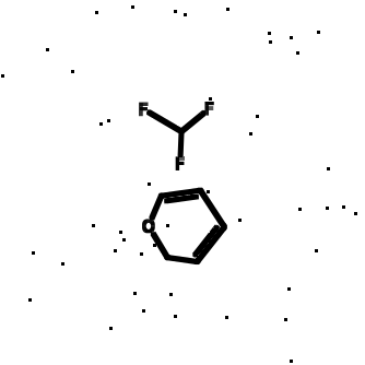 C1=CCOC=C1.FC(F)F